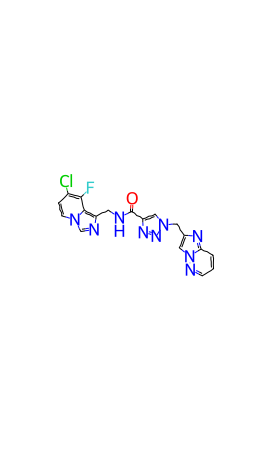 O=C(NCc1ncn2ccc(Cl)c(F)c12)c1cn(Cc2cn3ncccc3n2)nn1